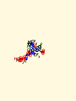 CC(C)(CCc1ccc(-c2ccc(Cl)c3c(N(C(=O)N4CC[C@@H]4CN(CC(=O)O)C(=O)OCOP(=O)(O)O)S(C)(=O)=O)nn(CC(F)(F)F)c23)c([C@H](Cc2cc(F)cc(F)c2)NC(=O)Cn2nc(C(F)(F)F)c3c2C(F)(F)C2C[C@H]32)n1)S(C)(=O)=O